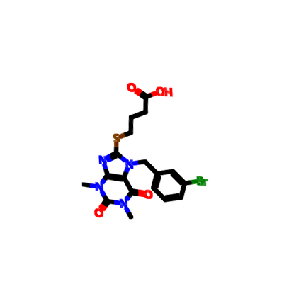 Cn1c(=O)c2c(nc(SCCCC(=O)O)n2Cc2cccc(Br)c2)n(C)c1=O